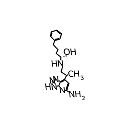 CC(CCN[C@@H](CO)CCCc1ccccc1)c1cc(N)nc2[nH]nnc12